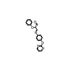 O=NC(C=Nc1ccc(Oc2ncccn2)cc1)Oc1ccccc1